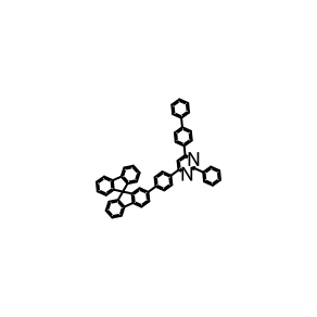 c1ccc(-c2ccc(-c3cc(-c4ccc(-c5ccc6c(c5)C5(c7ccccc7-c7ccccc75)c5ccccc5-6)cc4)nc(-c4ccccc4)n3)cc2)cc1